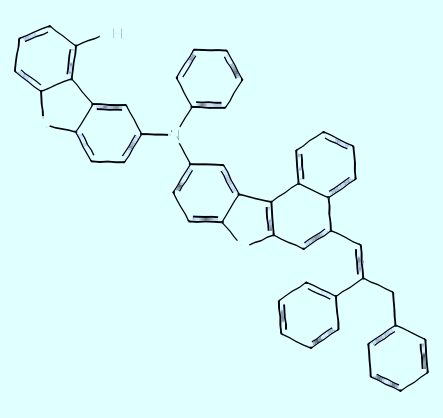 Cc1cccc2sc3ccc(N(c4ccccc4)c4ccc5sc6cc(/C=C(/Cc7ccccc7)c7ccccc7)c7ccccc7c6c5c4)cc3c12